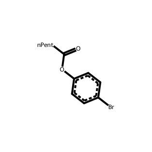 CCCCCC(=O)Oc1ccc(Br)cc1